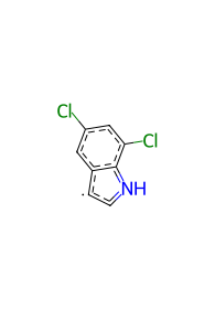 Clc1cc(Cl)c2[nH]c[c]c2c1